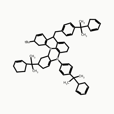 CC(C)(C)C1C=CC2=C(C1)B1C3=C(CCC=C3C2Cc2ccc(C(C)(C)C3C=CC=CC3)cc2)N(c2ccc(C(C)(C)C3C=CC=CC3)cc2)C2=CCC(C(C)(C)C3C=CCCC3)CC12